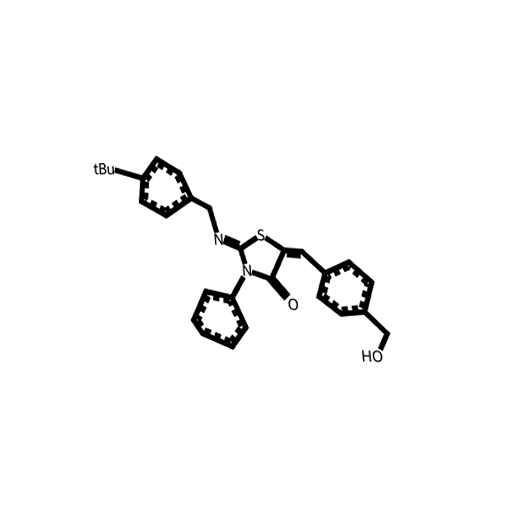 CC(C)(C)c1ccc(CN=C2SC(=Cc3ccc(CO)cc3)C(=O)N2c2ccccc2)cc1